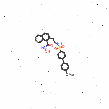 COc1ccc(-c2ccc(S(=O)(=O)NCCc3ccc4ccccc4c3C(=O)NO)cc2)cc1